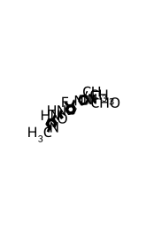 Cc1ccc(NC(=O)Nc2cccc(CN3CCN(N(C)C=O)[C@H](C)C3)c2F)cn1